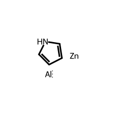 [Al].[Zn].c1cc[nH]c1